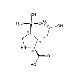 CC(C)(O)[C@@H]1CN[C@H](C(=O)O)[C@H]1CC(=O)O